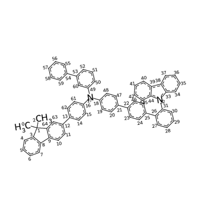 CC1(C)c2ccccc2-c2ccc(-c3ccc(N(c4ccc(-c5ccc(-c6ccccc6-n6c7ccccc7c7ccccc76)cc5)cc4)c4cccc(-c5ccccc5)c4)cc3)cc21